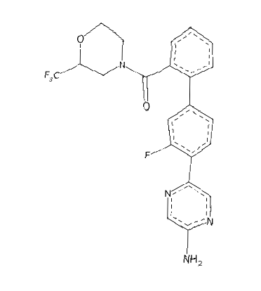 Nc1cnc(-c2ccc(-c3ccccc3C(=O)N3CCOC(C(F)(F)F)C3)cc2F)cn1